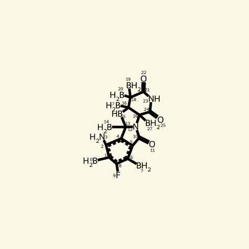 Bc1c(N)c2c(c(B)c1F)C(=O)N1C2(B)BC2(B)C(B)(B)C(=O)NC(=O)C12B